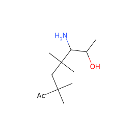 CC(=O)C(C)(C)CC(C)(C)C(N)C(C)O